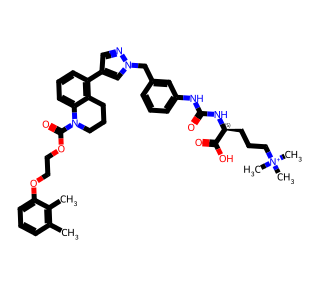 Cc1cccc(OCCOC(=O)N2CCCc3c(-c4cnn(Cc5cccc(NC(=O)N[C@@H](CCC[N+](C)(C)C)C(=O)O)c5)c4)cccc32)c1C